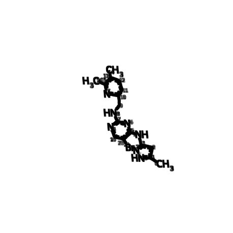 Cc1cc(Nc2nc(NCc3ccc(C)c(C)n3)ncc2Br)n[nH]1